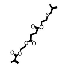 C=C(C)CSCCOC(=O)CCC(=O)OCCOC(=O)C(=C)C